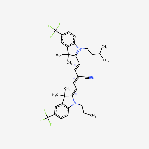 CCCN1/C(=C/C=C(C#N)/C=C/C2=[N+](CCC(C)C)c3ccc(C(F)(F)F)cc3C2(C)C)C(C)(C)c2cc(C(F)(F)F)ccc21